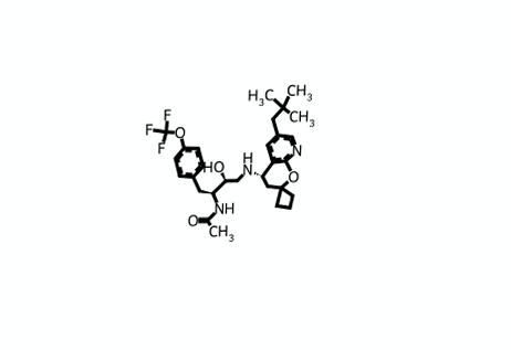 CC(=O)N[C@@H](Cc1ccc(OC(F)(F)F)cc1)[C@@H](O)CN[C@H]1CC2(CCC2)Oc2ncc(CC(C)(C)C)cc21